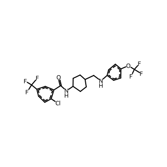 O=C(NC1CCC(CNc2ccc(OC(F)(F)F)cc2)CC1)c1cc(C(F)(F)F)ccc1Cl